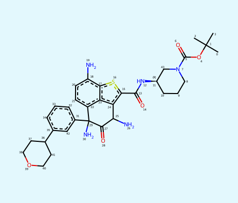 CC(C)(C)OC(=O)N1CCC[C@@H](NC(=O)c2sc3c(N)ccc4c3c2C(N)C(=O)C4(N)c2cccc(C3CCOCC3)c2)C1